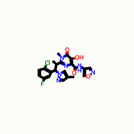 Cc1cnn(C(c2cc(F)ccc2Cl)C(C)c2nc(C(=O)Nc3cnoc3)c(O)c(=O)n2C)c1